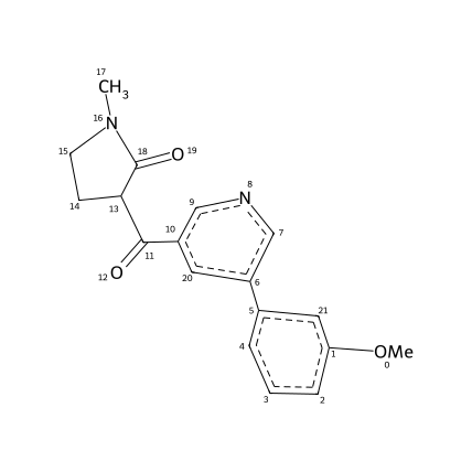 COc1cccc(-c2cncc(C(=O)C3CCN(C)C3=O)c2)c1